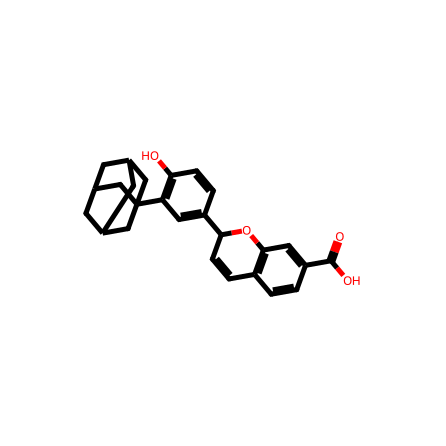 O=C(O)c1ccc2c(c1)OC(c1ccc(O)c(C34CC5CC(CC(C5)C3)C4)c1)C=C2